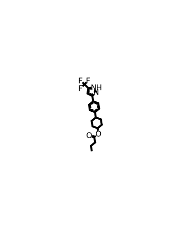 CCCC(=O)OC1CCC(c2ccc(-c3cc(C(F)(F)F)[nH]n3)cc2)CC1